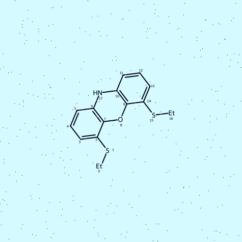 CCSc1cccc2c1Oc1c(cccc1SCC)N2